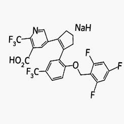 O=C(O)c1cc(C2=C(c3cc(C(F)(F)F)ccc3OCc3c(F)cc(F)cc3F)CCC2)cnc1C(F)(F)F.[NaH]